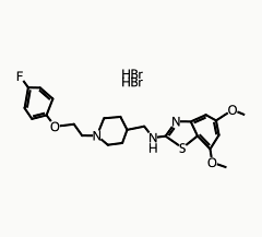 Br.Br.COc1cc(OC)c2sc(NCC3CCN(CCOc4ccc(F)cc4)CC3)nc2c1